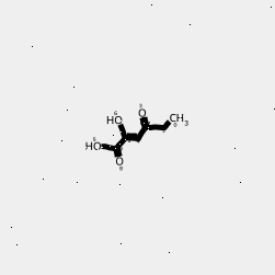 CCC(=O)/C=C(\O)C(=O)O